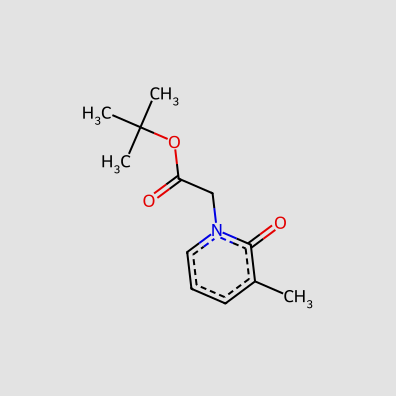 Cc1cccn(CC(=O)OC(C)(C)C)c1=O